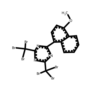 COc1ccc(-c2nc(C(Br)(Br)Br)nc(C(Br)(Br)Br)n2)c2ccccc12